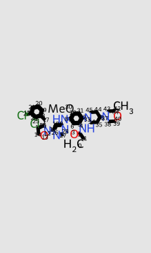 C=CC(=O)Nc1cc(Nc2cc(N3OCC[C@@H]3Cc3cccc(Cl)c3Cl)ncn2)c(OC)cc1N1CCC(N2CCO[C@@H](C)C2)CC1